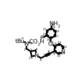 CC(C)(C)N(CC1CN(CC#Cc2cnccc2Oc2ccc(N)cc2F)C1)C(=O)O